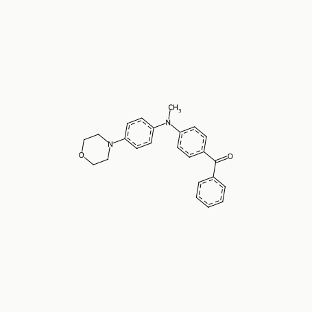 CN(c1ccc(C(=O)c2ccccc2)cc1)c1ccc(N2CCOCC2)cc1